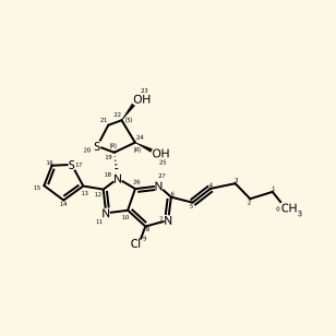 CCCCC#Cc1nc(Cl)c2nc(-c3cccs3)n([C@@H]3SC[C@@H](O)[C@H]3O)c2n1